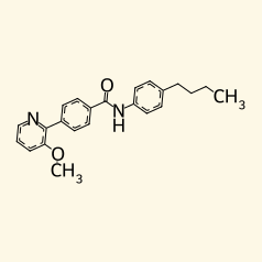 CCCCc1ccc(NC(=O)c2ccc(-c3ncccc3OC)cc2)cc1